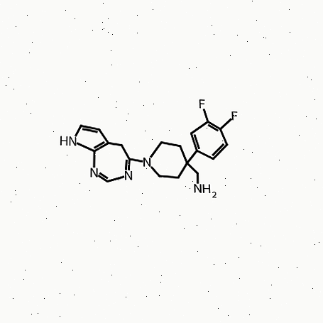 NCC1(c2ccc(F)c(F)c2)CCN(C2=NC=Nc3[nH]ccc3C2)CC1